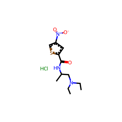 CCN(CC)CC(C)NC(=O)c1cc([N+](=O)[O-])cs1.Cl